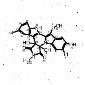 COc1c2n(c3cc(Cl)c(O)cc13)[C@]1(O)C(=O)N(C)C(=O)[C@]1(O)c1c-2[nH]c2ccc(I)cc12